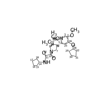 COc1ccc([C@@H]2CN(C(=O)C(=O)NC3CCCC3)C[C@@]2(C)[C@@H](C)O)cc1OC1CCCC1